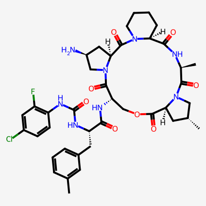 Cc1cccc(C[C@H](NC(=O)Nc2ccc(Cl)cc2F)C(=O)N[C@H]2COC(=O)[C@@H]3C[C@@H](C)CN3C(=O)[C@H](C)NC(=O)[C@@H]3CCCCN3C(=O)[C@@H]3C[C@H](N)CN3C2=O)c1